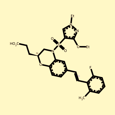 CCOc1nn(CC)cc1S(=O)(=O)N1C[C@H](CCC(=O)O)Oc2ccc(/C=C/c3c(C)cccc3F)cc21